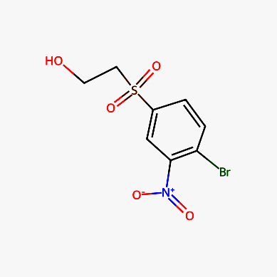 O=[N+]([O-])c1cc(S(=O)(=O)CCO)ccc1Br